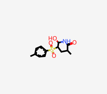 Cc1ccc(S(=O)(=O)C2CC(C)C(=O)NC2O)cc1